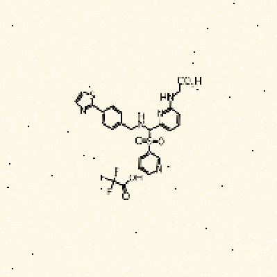 O=C(O)C(F)(F)F.O=C(O)CNc1cccc(C(NCc2ccc(-c3nccs3)cc2)S(=O)(=O)c2cccnc2)n1